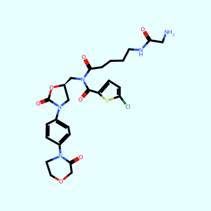 NCC(=O)NCCCCC(=O)N(C[C@H]1CN(c2ccc(N3CCOCC3=O)cc2)C(=O)O1)C(=O)c1ccc(Cl)s1